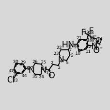 O=C(CCN1CCC(Nc2ccc([N+](=O)[O-])c(C(F)(F)F)c2)CC1)N1CCN(c2cccc(Cl)c2)CC1